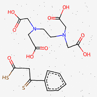 O=C(O)CN(CCN(CC(=O)O)CC(=O)O)CC(=O)O.O=C(S)CC(=S)c1ccccc1